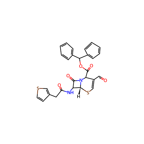 O=CC1=CS[C@@H]2C(NC(=O)Cc3ccsc3)C(=O)N2C1C(=O)OC(c1ccccc1)c1ccccc1